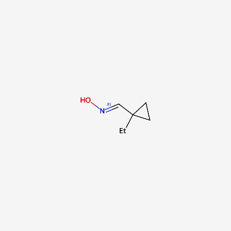 CCC1(/C=N/O)CC1